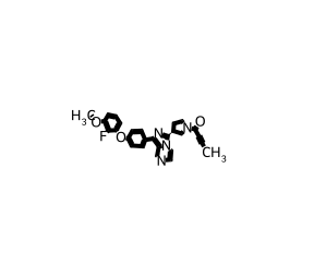 CC#CC(=O)N1CC[C@@H](c2nc(-c3ccc(Oc4cccc(OC)c4F)cc3)c3cnccn23)C1